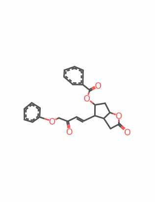 O=C(/C=C/C1C(OC(=O)c2ccccc2)CC2OC(=O)CC21)COc1ccccc1